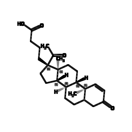 CC(=O)[C@@]1(CCCC(=O)O)CC[C@H]2[C@@H]3CCC4CC(=O)C=C[C@]4(C)[C@H]3CC[C@@]21C